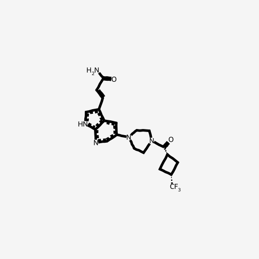 NC(=O)/C=C/c1c[nH]c2ncc(N3CCN(C(=O)[C@H]4C[C@@H](C(F)(F)F)C4)CC3)cc12